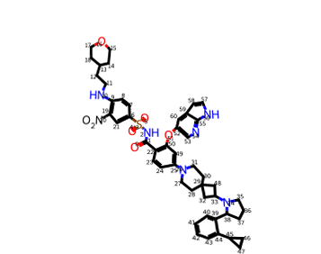 O=C(NS(=O)(=O)c1ccc(NCCC2CCOCC2)c([N+](=O)[O-])c1)c1ccc(N2CCC3(CC2)CC(N2CCCC2c2ccccc2C2CC2)C3)cc1Oc1cnc2[nH]ccc2c1